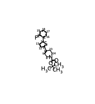 CC(C)(C)OC(=O)N1CC=C(c2ccc(-c3ccccc3F)s2)CC1